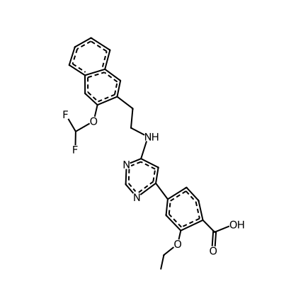 CCOc1cc(-c2cc(NCCc3cc4ccccc4cc3OC(F)F)ncn2)ccc1C(=O)O